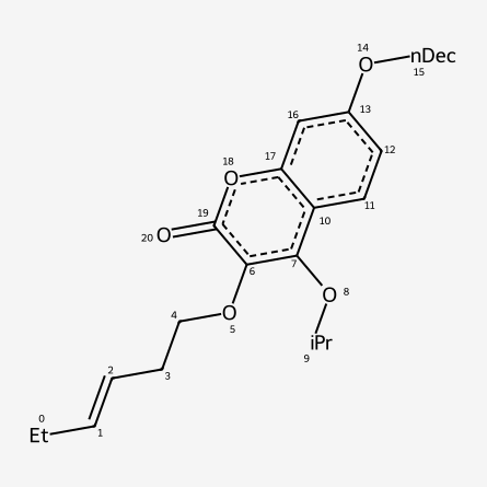 CC/C=C/CCOc1c(OC(C)C)c2ccc(OCCCCCCCCCC)cc2oc1=O